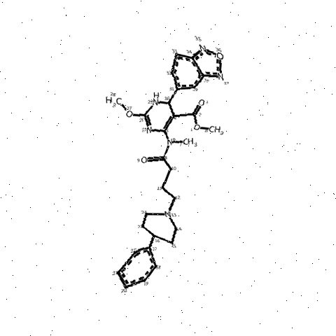 COC(=O)C1=C(N(C)C(=O)CCCN2CCC(c3ccccc3)CC2)N=C(OC)NC1c1ccc2nonc2c1